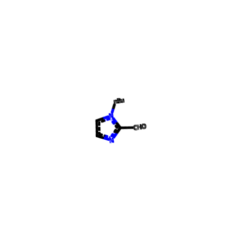 CCCCn1ccnc1C=O